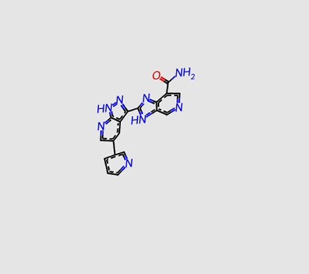 NC(=O)c1cncc2[nH]c(-c3n[nH]c4ncc(-c5cccnc5)cc34)nc12